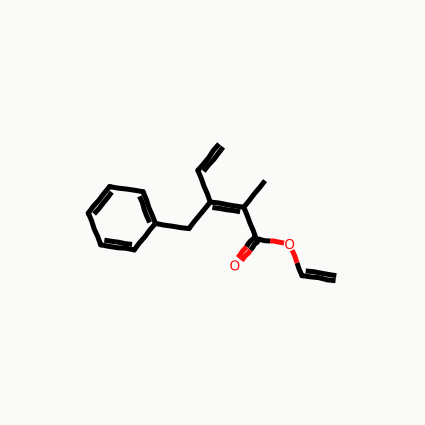 C=COC(=O)C(C)=C(C=C)Cc1ccccc1